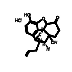 C=CCN1CC[C@]23c4c5ccc(O)c4OC2C(=O)CCC3(O)[C@H]1C5.Cl